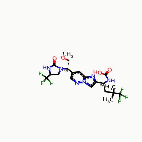 COC[C@H](c1cnn2cc([C@H](CC(C)(C)C(F)(F)F)NC(=O)O)nc2c1)N1CC(C(F)(F)F)NC1=O